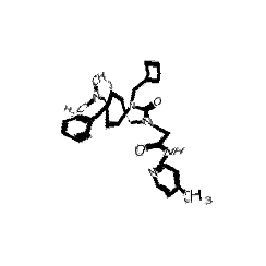 Cc1ccnc(NC(=O)CN2C[C@]3(CC[C@](c4ccccc4)(N(C)C)CC3)N(CC3CCC3)C2=O)c1